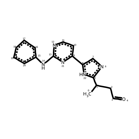 CC(CC=O)c1ncc(-c2ccnc(Nc3ccccc3)n2)[nH]1